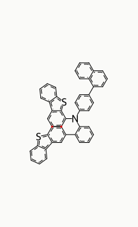 c1ccc(N(c2ccc(-c3cccc4ccccc34)cc2)c2cccc3c2sc2ccccc23)c(-c2ccc3sc4ccccc4c3c2)c1